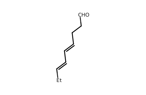 CCC=CC=CCCC=O